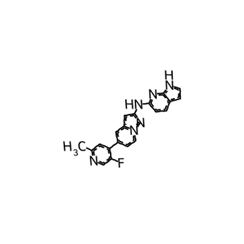 Cc1cc(-c2ccn3nc(Nc4ccc5cc[nH]c5n4)cc3c2)c(F)cn1